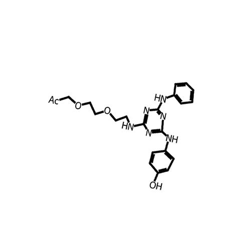 CC(=O)COCCOCCNc1nc(Nc2ccccc2)nc(Nc2ccc(O)cc2)n1